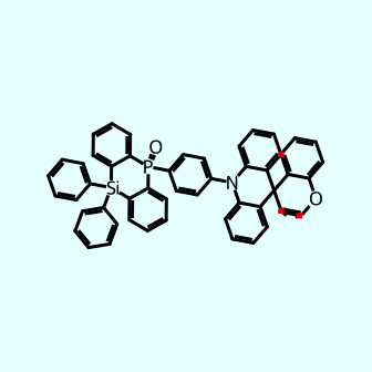 O=P1(c2ccc(N3c4ccccc4C4(c5ccccc5Oc5ccccc54)c4ccccc43)cc2)c2ccccc2[Si](c2ccccc2)(c2ccccc2)c2ccccc21